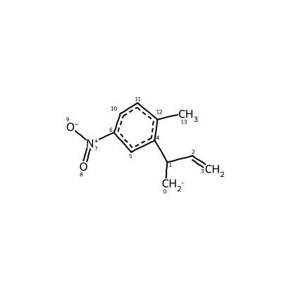 [CH2]C(C=C)c1cc([N+](=O)[O-])ccc1C